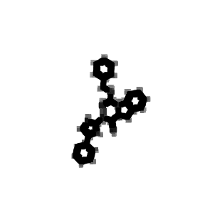 O=C(Nc1nc(-c2ccccc2)cs1)C1Cc2ccccc2N1C(=O)OCc1ccccc1